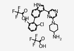 NC1CCN(c2cncc(-c3c[nH]c4ccc(-c5c(F)cccc5Cl)cc34)n2)CC1.O=C(O)C(F)(F)F.O=C(O)C(F)(F)F